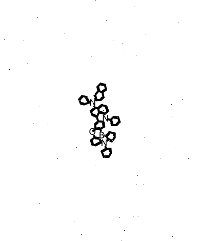 c1ccc(N2c3ccccc3B3c4cc5c(cc4Oc4cccc2c43)-c2ccc(N(c3ccccc3)c3ccc4ccccc4c3)c3cccc(c23)N5c2ccccc2)cc1